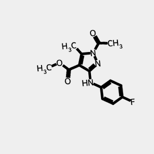 COC(=O)c1c(Nc2ccc(F)cc2)nn(C(C)=O)c1C